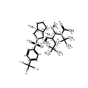 CN([C@H]1CC[C@@H]2CN(S(=O)(=O)c3ccc(C(F)(F)F)cc3)C[C@@H]21)[C@H](C(C=O)CC(C)(C)C)N(C(=O)O)C(C)(C)C